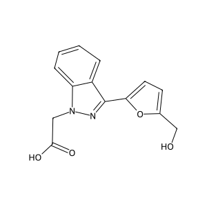 O=C(O)Cn1nc(-c2ccc(CO)o2)c2ccccc21